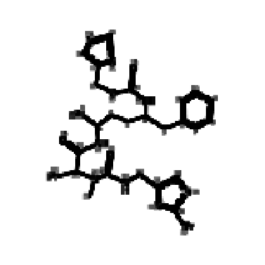 CCCC(CCC(Cc1ccccc1)NC(=O)OCc1cncs1)NC(=O)C(C(C)C)N(C)C(=O)NCc1csc(C(C)C)n1